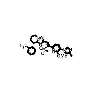 COc1nc(C=CC2=NN3CCC[C@@H](c4ccccc4C(F)(F)F)C3N2OS(C)(=O)=O)ccc1-n1cnc(C)c1